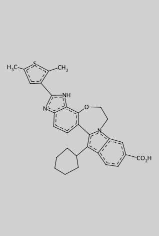 Cc1cc(-c2nc3ccc4c(c3[nH]2)OCCn2c-4c(C3CCCCC3)c3ccc(C(=O)O)cc32)c(C)s1